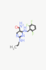 C=CCNc1ncc(C(N)=O)c(NCc2c(F)ccc(F)c2F)n1